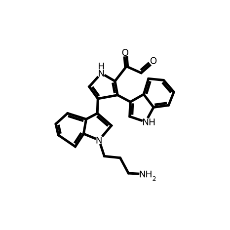 NCCCn1cc(-c2c[nH]c(C(=O)C=O)c2-c2c[nH]c3ccccc23)c2ccccc21